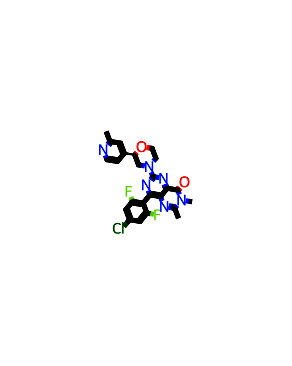 Cc1cc([C@@H]2CN(c3nc(-c4c(F)cc(Cl)cc4F)c4nc(C)n(C)c(=O)c4n3)CCO2)ccn1